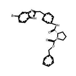 O=C(Nc1ccc(Cc2nc3cc(Br)ccc3[nH]2)cc1)[C@@H]1CCCN1C(=O)OCc1ccccc1